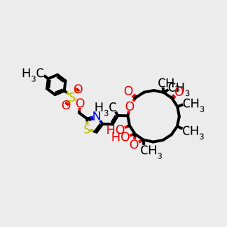 CC(=Cc1csc(COS(=O)(=O)c2ccc(C)cc2)n1)C1OC(=O)CCC(C)(C)C(=O)C(C)CC(C)CCCC2(C)OC2(O)C1O